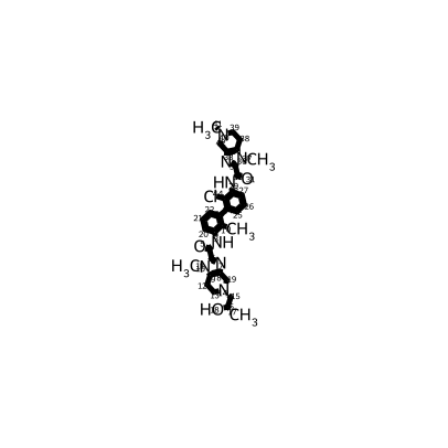 Cc1c(NC(=O)c2nc3c(n2C)CCN(CC(C)O)C3)cccc1-c1cccc(NC(=O)c2nc3c(n2C)CCN(C)C3)c1Cl